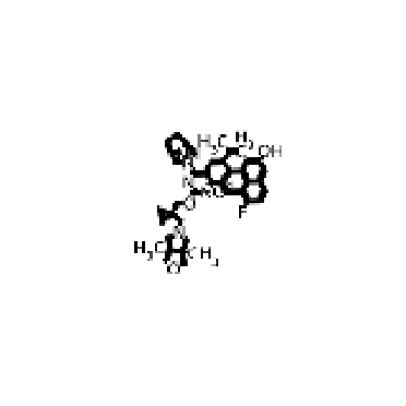 C#Cc1c(F)ccc2cc(O)cc(-c3c(C(C)C)cc4c(N5CC6CCC(C5)N6)nc(OCC5(CN6C[C@]7(C)COC[C@]7(C)C6)CC5)nc4c3C)c12